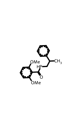 COc1cccc(OC)c1C(=O)PCC(C)c1ccccc1